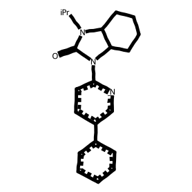 CC(C)N1C(=O)N(c2ccc(-c3ccccc3)cn2)C2CCCCC21